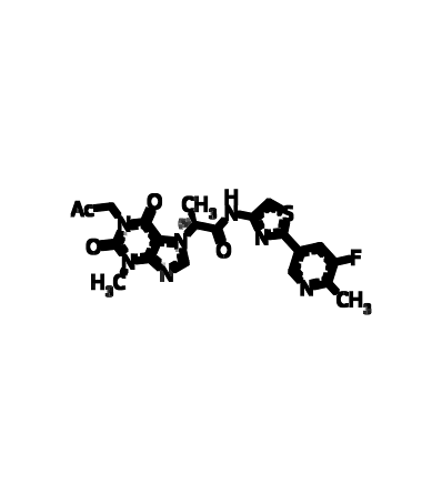 CC(=O)Cn1c(=O)c2c(ncn2[C@@H](C)C(=O)Nc2csc(-c3cnc(C)c(F)c3)n2)n(C)c1=O